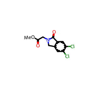 COC(=O)CN1Cc2cc(Cl)c(Cl)cc2C1=O